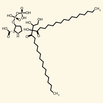 CCCCCCCCCCCCCCCC(=O)C(O)(C(=O)CCCCCCCCCCCCCCC)C(O)CO.O=C(O)[C@H]1NCCC1OP(=O)(O)OP(=O)(O)O